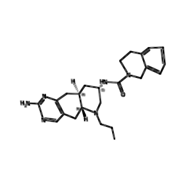 CCCN1C[C@@H](NC(=O)N2CCc3ccccc3C2)C[C@@H]2Cc3nc(N)ncc3C[C@H]21